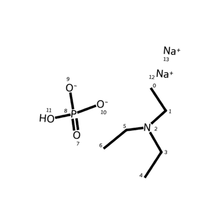 CCN(CC)CC.O=P([O-])([O-])O.[Na+].[Na+]